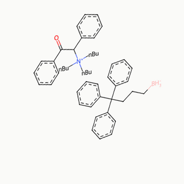 CCCC[N+](CCCC)(CCCC)C(C(=O)c1ccccc1)c1ccccc1.[BH3-]CCCC(c1ccccc1)(c1ccccc1)c1ccccc1